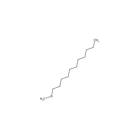 [CH2]CCCCCCCCC[CH]OC